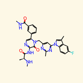 CNC(=O)c1cccc(-c2cnc(NC(=O)[C@H](C)NC)c(=O)n2Cc2cc(-n3cc(C)c4cc(F)ccc43)nc(C)n2)c1